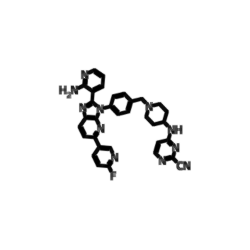 N#Cc1nccc(NC2CCN(Cc3ccc(-n4c(-c5cccnc5N)nc5ccc(-c6ccc(F)nc6)nc54)cc3)CC2)n1